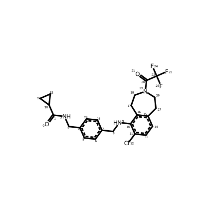 O=C(NCc1ccc(CNc2c(Cl)ccc3c2CCN(C(=O)C(F)(F)F)CC3)cc1)C1CC1